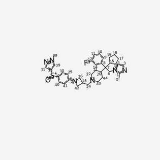 Cc1nccn1CC(c1cccc(F)c1)(C1CCCC1)C1CCN(CC2CN(c3ccc([S+]([O-])c4cnn(C)c4)cc3)C2)CC1